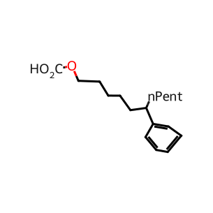 CCCCCC(CCCCCOC(=O)O)c1ccccc1